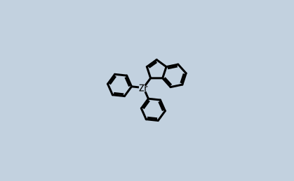 C1=C[CH]([Zr]([c]2ccccc2)[c]2ccccc2)c2ccccc21